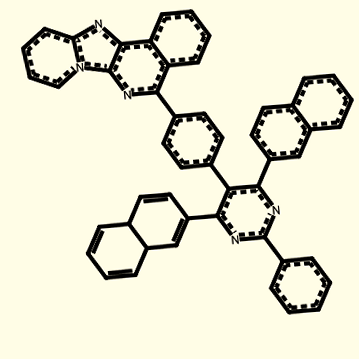 C1=CC2C=CC(c3nc(-c4ccccc4)nc(-c4ccc5ccccc5c4)c3-c3ccc(-c4nc5c(nc6ccccn65)c5ccccc45)cc3)=CC2C=C1